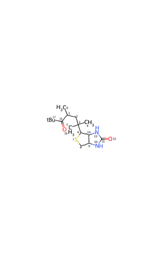 CC(CC(C)(C)C1SCC2NC(=O)NC21)C(=O)C(C)(C)C